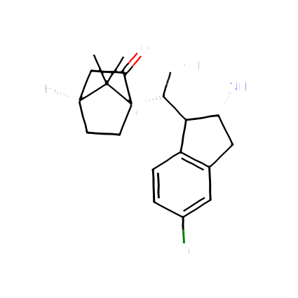 CC1(C)[C@H]2CC[C@]1(C(C1c3ccc(Br)cc3C[C@H]1N)S(=O)(=O)O)C(=O)C2